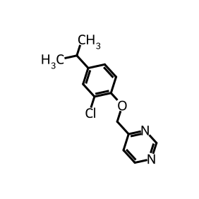 CC(C)c1ccc(OCc2ccncn2)c(Cl)c1